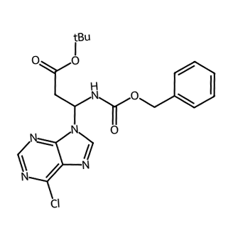 CC(C)(C)OC(=O)CC(NC(=O)OCc1ccccc1)n1cnc2c(Cl)ncnc21